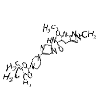 CCOc1nc2nn(C)cc2cc1C(=O)Nc1cnc(N2CCN(C(=O)OC(C)(C)C)CC2)cn1